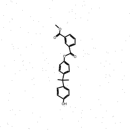 COC(=O)c1cccc(C(=O)Oc2ccc(C(C)(C)c3ccc(O)cc3)cc2)c1